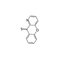 S=c1c2ccccc2oc2cccnc12